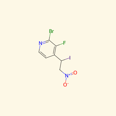 O=[N+]([O-])CC(I)c1ccnc(Br)c1F